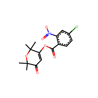 CC1(C)OC(C)(C)C(OC(=O)c2ccc(Cl)cc2[N+](=O)[O-])=CC1=O